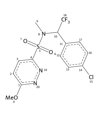 COc1ccc(S(=O)(=O)N(C)C(c2ccc(Cl)cc2)C(F)(F)F)nn1